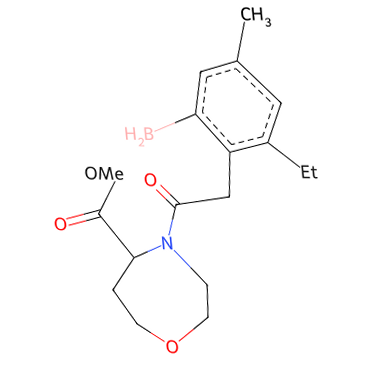 Bc1cc(C)cc(CC)c1CC(=O)N1CCOCCC1C(=O)OC